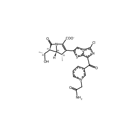 C[C@@H](O)[C@H]1C(=O)N2C(C(=O)[O-])=C(c3cn4c(Cl)nc(C(=O)c5ccc[n+](CC(N)=O)c5)c4s3)[C@H](C)[C@H]12